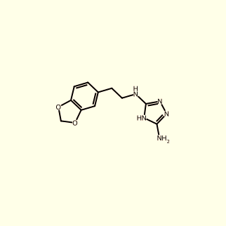 Nc1nnc(NCCc2ccc3c(c2)OCO3)[nH]1